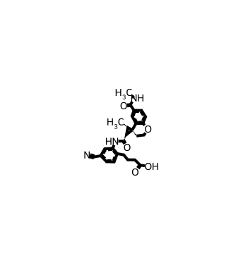 CNC(=O)c1ccc2c(c1)[C@@]1(CCO2)[C@H](C(=O)Nc2cc(C#N)ccc2CCCC(=O)O)[C@@H]1C